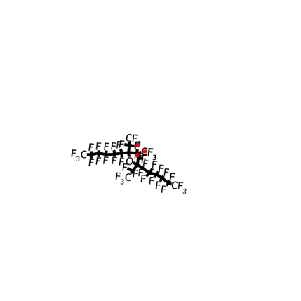 FC(F)(F)C(F)(F)C(F)(F)C(F)(F)C(F)(F)C(F)(F)C(OC(C(F)(F)C(F)(F)F)(C(F)(F)C(F)(F)F)C(F)(F)C(F)(F)C(F)(F)C(F)(F)C(F)(F)C(F)(F)F)(C(F)(F)C(F)(F)F)C(F)(F)C(F)(F)F